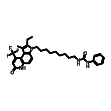 CCc1c(C)c2c3c(C(F)(F)F)cc(=O)[nH]c3ccc2n1CCCCCCCCCNC(=O)Nc1ccccc1